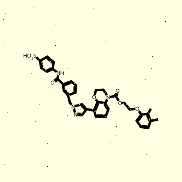 Cc1cccc(OCCOC(=O)N2CCOc3c(-c4cnn(Cc5cccc(C(=O)Nc6ccc(S(=O)(=O)O)cc6)c5)c4)cccc32)c1C